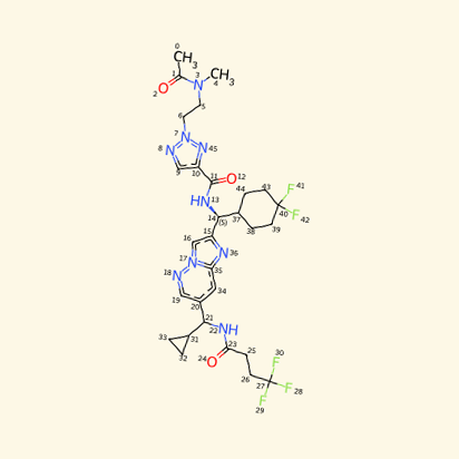 CC(=O)N(C)CCn1ncc(C(=O)N[C@H](c2cn3ncc(C(NC(=O)CCC(F)(F)F)C4CC4)cc3n2)C2CCC(F)(F)CC2)n1